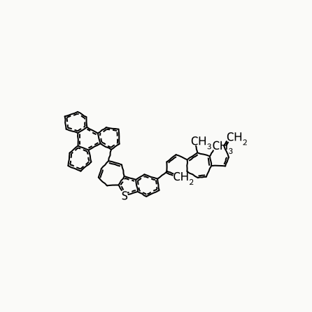 C=C/C=C\C1=C(C)C(C)=C(/C=C\C(=C)c2ccc3sc4c(c3c2)C=C(c2cccc3c5ccccc5c5ccccc5c23)C=CC4)CC=C1